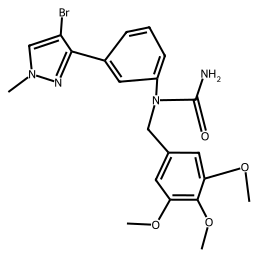 COc1cc(CN(C(N)=O)c2cccc(-c3nn(C)cc3Br)c2)cc(OC)c1OC